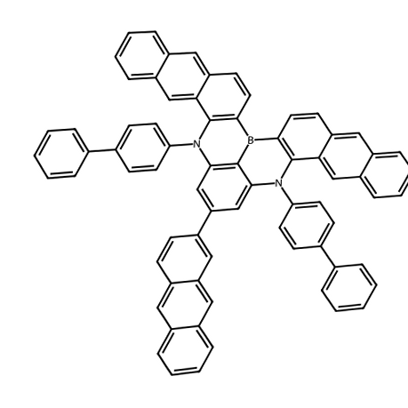 c1ccc(-c2ccc(N3c4cc(-c5ccc6cc7ccccc7cc6c5)cc5c4B(c4ccc6cc7ccccc7cc6c43)c3ccc4cc6ccccc6cc4c3N5c3ccc(-c4ccccc4)cc3)cc2)cc1